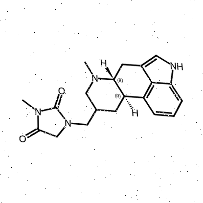 CN1C(=O)CN(CC2C[C@@H]3c4cccc5[nH]cc(c45)C[C@H]3N(C)C2)C1=O